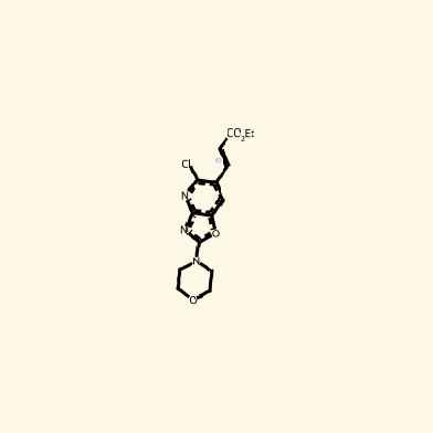 CCOC(=O)/C=C/c1cc2oc(N3CCOCC3)nc2nc1Cl